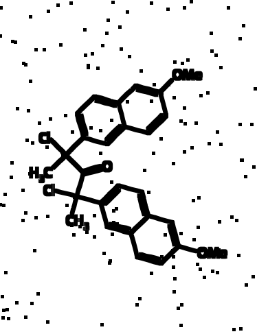 COc1ccc2cc(C(C)(Cl)C(=O)C(C)(Cl)c3ccc4cc(OC)ccc4c3)ccc2c1